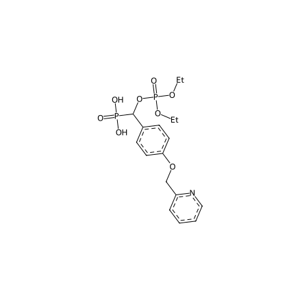 CCOP(=O)(OCC)OC(c1ccc(OCc2ccccn2)cc1)P(=O)(O)O